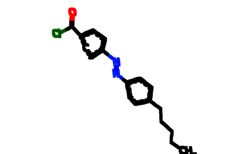 CCCCCc1ccc(/N=N/c2ccc(C(=O)Cl)cc2)cc1